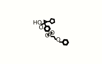 O=C(O)C1(c2ccc(S(=O)(=O)CCCOCc3ccccc3)cc2)CC1C1CCCC1